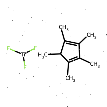 C[C]1C(C)=C(C)C(C)=C1C.[F][Ti]([F])[F]